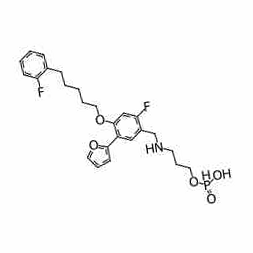 O=[PH](O)OCCCNCc1cc(-c2ccco2)c(OCCCCCc2ccccc2F)cc1F